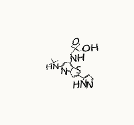 CC(C)(C)Nc1cc(NCC2(CO)COC2)c2sc(-c3ccn[nH]3)cc2n1